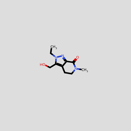 CCn1nc2c(c1CO)CCN(C)C2=O